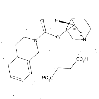 O=C(O)CCC(=O)O.O=C(O[C@H]1CN2CCC1CC2)N1CCC2CC=CC=C2C1